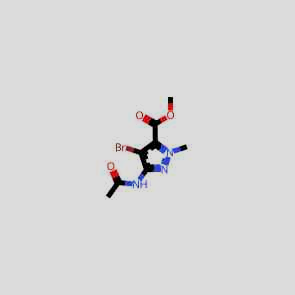 COC(=O)c1c(Br)c(NC(C)=O)nn1C